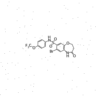 O=C1CCOc2cc(S(=O)(=O)Nc3ccc(OC(F)(F)F)cc3)c(Br)cc2N1